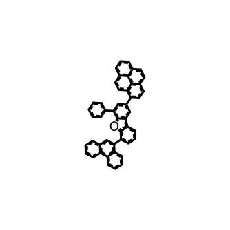 c1ccc(-c2cc(-c3ccc4ccc5cccc6ccc3c4c56)cc3c2oc2c(-c4cc5ccccc5c5ccccc45)cccc23)cc1